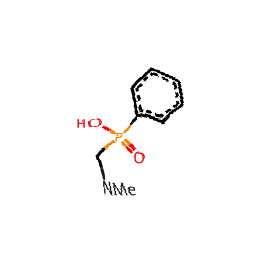 CNCP(=O)(O)c1ccccc1